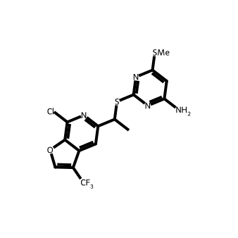 CSc1cc(N)nc(SC(C)c2cc3c(C(F)(F)F)coc3c(Cl)n2)n1